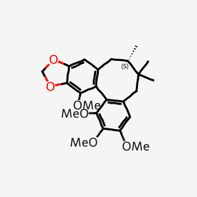 COc1cc2c(c(OC)c1OC)-c1c(cc3c(c1OC)OCO3)C[C@H](C)C(C)(C)C2